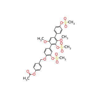 COc1cc(-c2ccc(OS(C)(=O)=O)cc2)c(OC)c(OS(C)(=O)=O)c1-c1ccc(OCc2ccc(OC(C)=O)cc2)c(OS(C)(=O)=O)c1